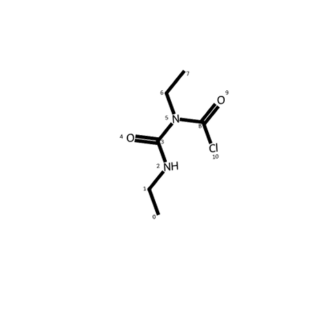 CCNC(=O)N(CC)C(=O)Cl